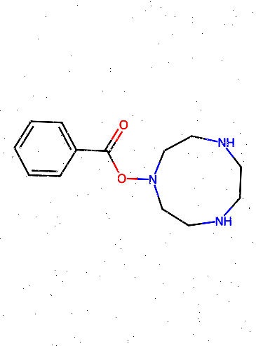 O=C(ON1CCNCCNCC1)c1ccccc1